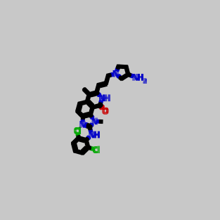 Cc1c(C=CCN2CCC(N)C2)[nH]c(=O)c2c1ccc1nc(Nc3c(Cl)cccc3Cl)n(C)c12